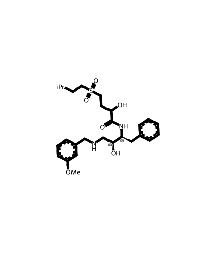 COc1cccc(CNC[C@H](O)[C@H](Cc2ccccc2)NC(=O)C(O)CCS(=O)(=O)CCC(C)C)c1